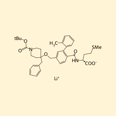 CSCC[C@H](NC(=O)c1ccc(COC2(Cc3ccccc3)CCN(C(=O)OC(C)(C)C)CC2)cc1-c1ccccc1C)C(=O)[O-].[Li+]